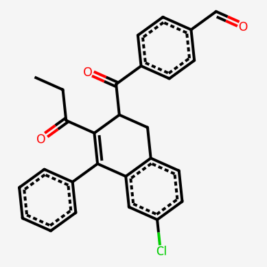 CCC(=O)C1=C(c2ccccc2)c2cc(Cl)ccc2CC1C(=O)c1ccc(C=O)cc1